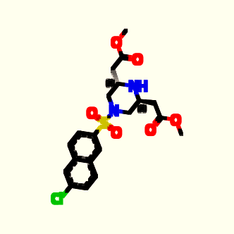 COC(=O)C[C@H]1CN(S(=O)(=O)c2ccc3cc(Cl)ccc3c2)C[C@H](CC(=O)OC)N1